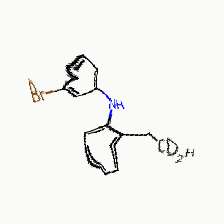 O=C(O)Cc1ccccc1Nc1cccc(Br)c1